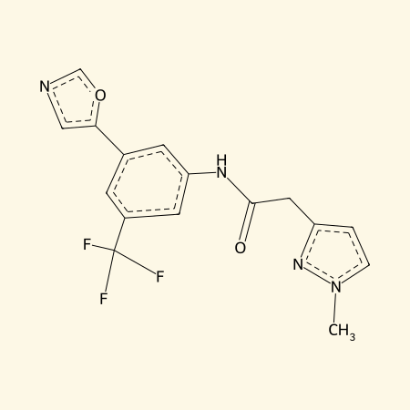 Cn1ccc(CC(=O)Nc2cc(-c3cnco3)cc(C(F)(F)F)c2)n1